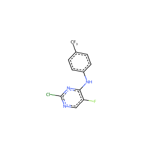 Fc1cnc(Cl)nc1Nc1ccc(C(F)(F)F)cc1